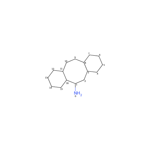 NC1CC2CCCCC2CCC2CCCCC12